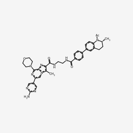 CC(=O)N1c2ccc(-c3ccc(C(=O)NCCNC(=O)c4nc5c(N6CCOCC6)nc(-c6cnc(N)nc6)cn5c4C)cc3)cc2CC[C@@H]1C